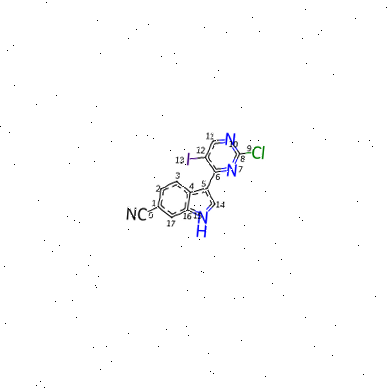 N#Cc1ccc2c(-c3nc(Cl)ncc3I)c[nH]c2c1